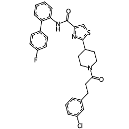 O=C(Nc1ccccc1-c1ccc(F)cc1)c1csc(C2CCN(C(=O)CCc3cccc(Cl)c3)CC2)n1